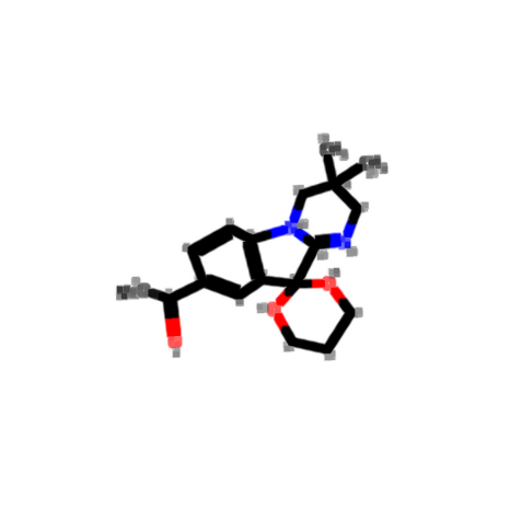 COC(=O)c1ccc2c(c1)C1(OCCCO1)C1=NCC(C)(C)CN12